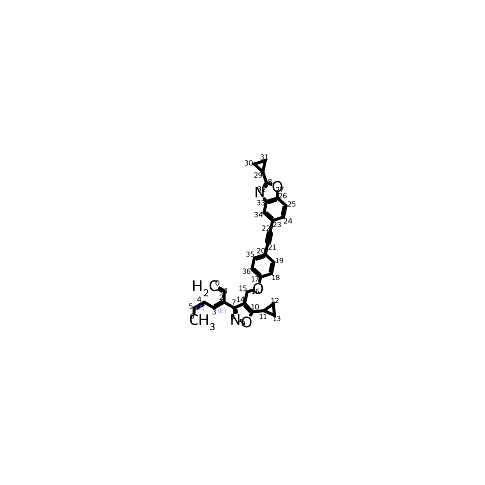 C=C/C(=C\C=C/C)c1noc(C2CC2)c1COc1ccc(C#Cc2ccc3oc(C4CC4)nc3c2)cc1